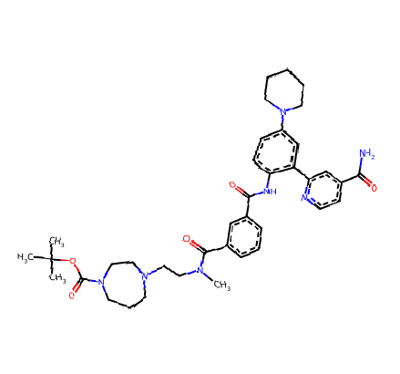 CN(CCN1CCCN(C(=O)OC(C)(C)C)CC1)C(=O)c1cccc(C(=O)Nc2ccc(N3CCCCC3)cc2-c2cc(C(N)=O)ccn2)c1